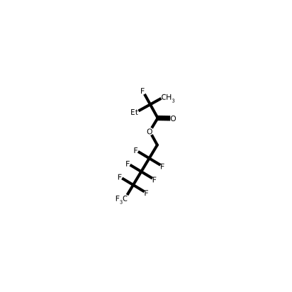 CCC(C)(F)C(=O)OCC(F)(F)C(F)(F)C(F)(F)C(F)(F)F